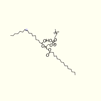 CCCCCC/C=C\CCCCCCCC(=O)O[C@H](COC(=O)CCCCCCCCCCCCCC)COP(=O)(O)OCC[N+](C)(C)C